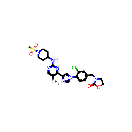 CS(=O)(=O)N1CCC(Nc2ncc(C(F)(F)F)c(-c3cn(-c4ccc(CN5CCOC5=O)cc4Cl)cn3)n2)CC1